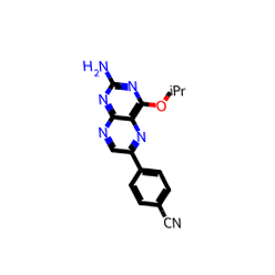 CC(C)Oc1nc(N)nc2ncc(-c3ccc(C#N)cc3)nc12